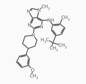 COc1cccc(C2CCN(c3nc(Nc4cc(C(C)(C)C)ccc4C)c4c(ncn4C)n3)CC2)c1